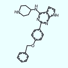 c1ccc(COc2ccc(-c3nc(NC4CCNCC4)c4cc[nH]c4n3)cc2)cc1